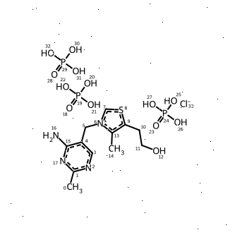 Cc1ncc(C[n+]2csc(CCO)c2C)c(N)n1.O=P(O)(O)O.O=P(O)(O)O.O=P(O)(O)O.[Cl-]